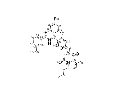 CCCCN1C(=O)CN(CC(=O)N[C@@H](Cc2cc(F)cc(F)c2)[C@@H](O)CNCc2cccc(CC)c2)C(=O)[C@H]1C(C)C